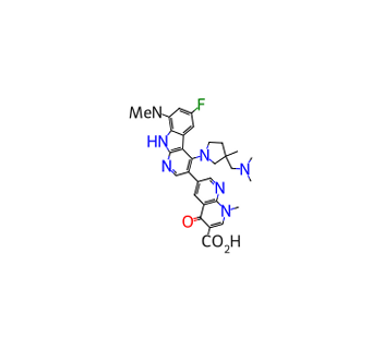 CNc1cc(F)cc2c1[nH]c1ncc(-c3cnc4c(c3)c(=O)c(C(=O)O)cn4C)c(N3CCC(C)(CN(C)C)C3)c12